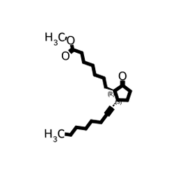 CCCCCCC#C[C@H]1CCC(=O)[C@@H]1CCCCCCC(=O)OC